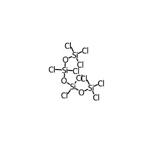 Cl[Si](Cl)(Cl)O[Si](Cl)(Cl)O[Si](Cl)(Cl)O[Si](Cl)(Cl)Cl